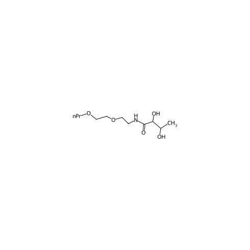 CCCOCCOCCNC(=O)C(O)C(C)O